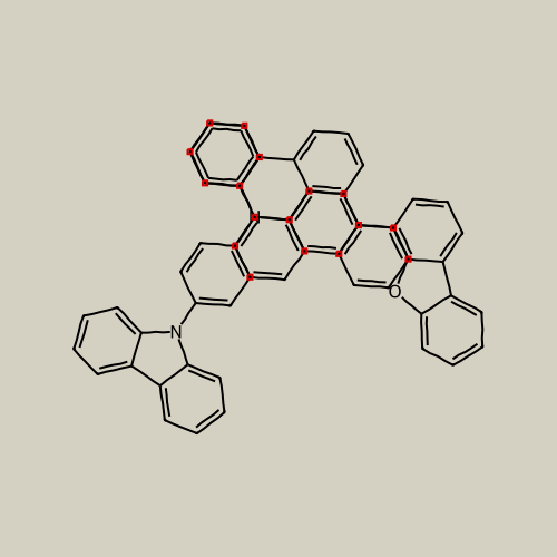 c1ccc(-c2ccccc2-c2c(-c3ccccc3)cccc2-c2ccccc2N(c2ccc(-c3cccc4c3oc3ccccc34)cc2)c2ccc(-n3c4ccccc4c4ccccc43)cc2)cc1